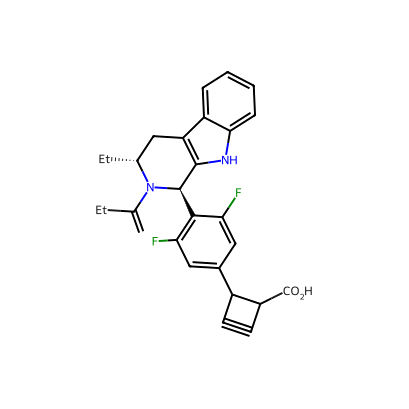 C=C(CC)N1[C@H](CC)Cc2c([nH]c3ccccc23)[C@H]1c1c(F)cc(C2C#CC2C(=O)O)cc1F